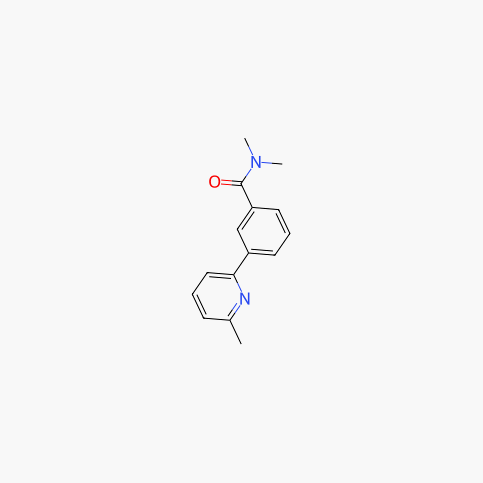 Cc1cccc(-c2cccc(C(=O)N(C)C)c2)n1